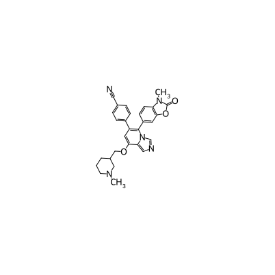 CN1CCCC(COc2cc(-c3ccc(C#N)cc3)c(-c3ccc4c(c3)oc(=O)n4C)n3cncc23)C1